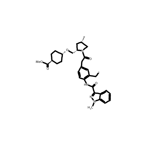 COC(=O)[C@H]1CC[C@H](OC[C@@H]2C[C@H](F)CN2C(=O)Cc2ccc(NC(=O)c3nn(C)c4ccccc34)c(CI)c2)CC1